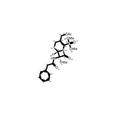 CO[C@@]1(NC(=O)Cc2ccccc2)C(=O)N2C(P(=O)(OC)OC)=C(COC(C)=O)CS[C@H]21